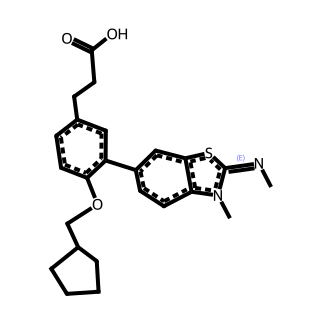 C/N=c1/sc2cc(-c3cc(CCC(=O)O)ccc3OCC3CCCC3)ccc2n1C